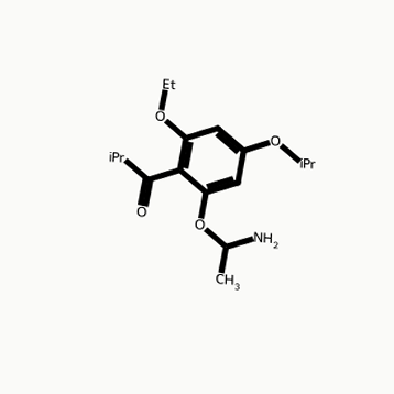 CCOc1cc(OC(C)C)cc(OC(C)N)c1C(=O)C(C)C